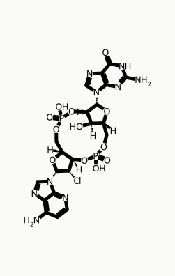 Nc1nc2c(ncn2[C@@H]2O[C@@H]3COP(=O)(O)O[C@H]4[C@H](Cl)[C@H](n5cnc6c(N)ccnc65)O[C@@H]4COP(=O)(O)O[C@@H]2[C@@H]3O)c(=O)[nH]1